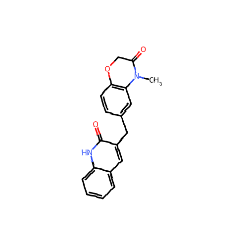 CN1C(=O)COc2ccc(Cc3cc4ccccc4[nH]c3=O)cc21